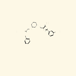 Cc1cccc(-c2nc(CO[C@H]3CCC[C@@H](OCC(OCc4cc(C)ccc4C)C(=O)O)C3)c(C)o2)c1